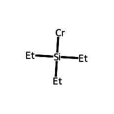 CC[Si]([Cr])(CC)CC